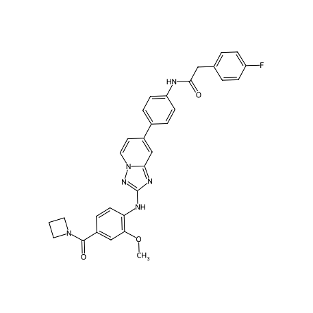 COc1cc(C(=O)N2CCC2)ccc1Nc1nc2cc(-c3ccc(NC(=O)Cc4ccc(F)cc4)cc3)ccn2n1